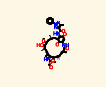 CO[C@H]1/C=C\C=C(/C)C(=O)NC2=CC(=O)C(NC(=O)c3nn(-c4ccccc4)nc3C)=C(C[C@@H](C)C[C@H](OC)[C@H](O)[C@@H](C)/C=C(\C)[C@@H]1NOC=O)C2=O